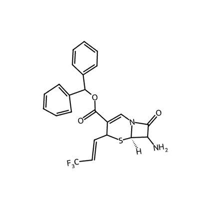 NC1C(=O)N2C=C(C(=O)OC(c3ccccc3)c3ccccc3)C(C=CC(F)(F)F)S[C@H]12